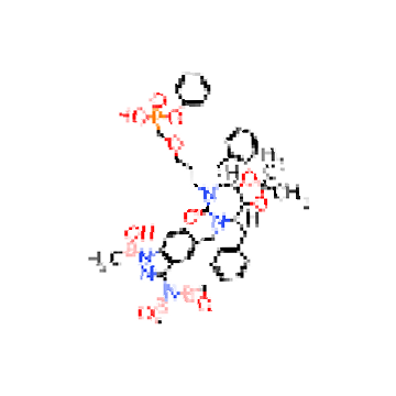 CB(O)n1nc(N(B2CO2)B2CO2)c2cc(CN3C(=O)N(CCCOCP(=O)(O)Oc4ccccc4)[C@H](Cc4ccccc4)[C@@H]4OC(C)(C)O[C@H]4[C@H]3Cc3ccccc3)ccc21